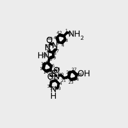 NCc1ccc(-n2cc3cc(-c4cccc(S(=O)(=O)N(CCc5ccc(O)cc5)C5CCNCC5)c4)[nH]c3nc2=O)cc1